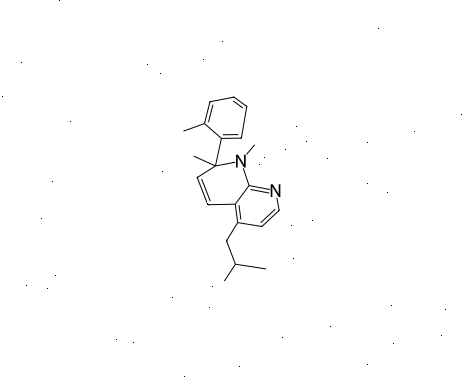 Cc1ccccc1C1(C)C=Cc2c(CC(C)C)ccnc2N1C